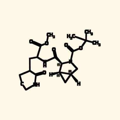 COC(=O)C(CC1CCCNC1=O)NC(=O)[C@@H]1[C@H]2C[C@H]2CN1C(=O)OC(C)(C)C